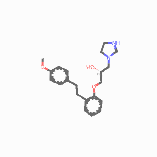 COc1ccc(CCc2ccccc2OC[C@H](O)CN2CCNC2)cc1